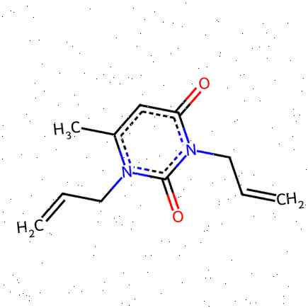 C=CCn1c(C)cc(=O)n(CC=C)c1=O